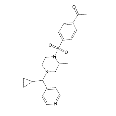 CC(=O)c1ccc(S(=O)(=O)N2CCN(C(c3ccncc3)C3CC3)CC2C)cc1